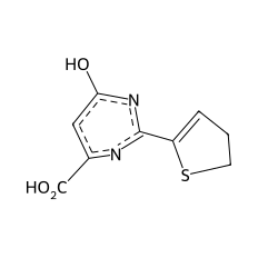 O=C(O)c1cc(O)nc(C2=CCCS2)n1